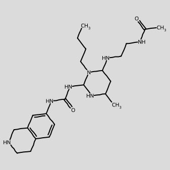 CCCCN1C(NCCNC(C)=O)CC(C)NC1NC(=O)Nc1ccc2c(c1)CNCC2